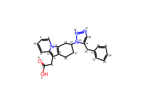 O=C(O)Cc1c2c(n3ccccc13)CC(n1nncc1Cc1ccccc1)CC2